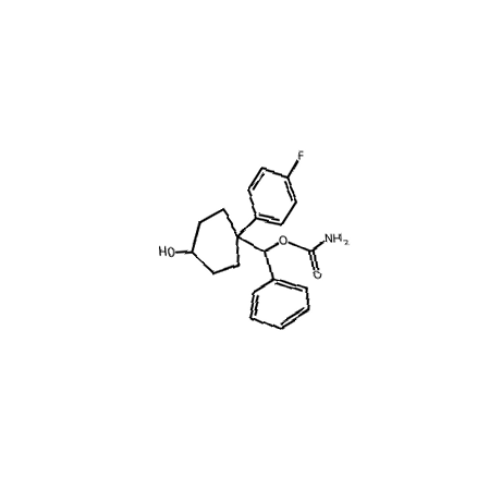 NC(=O)OC(c1ccccc1)C1(c2ccc(F)cc2)CCC(O)CC1